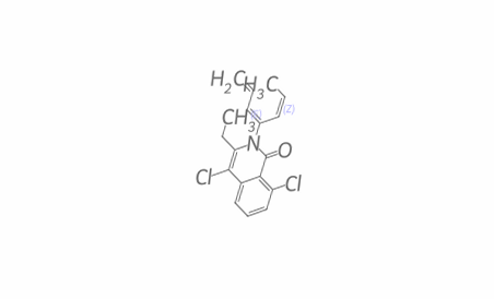 C=C/C=C(\C=C/C)n1c(CC)c(Cl)c2cccc(Cl)c2c1=O